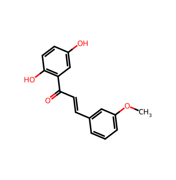 COc1cccc(C=CC(=O)c2cc(O)ccc2O)c1